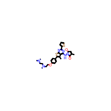 CC1=CC(=O)N(Nc2nc(-c3cccs3)nc3sc(-c4ccc(OCCN(C)CCN(C)C)cc4)c(C)c23)C1=O